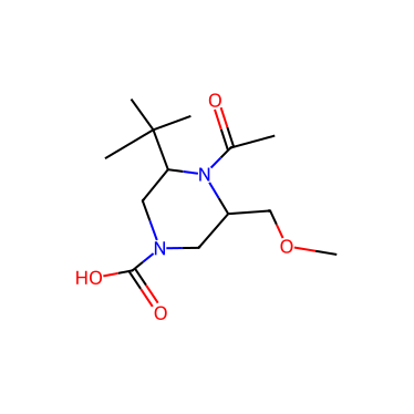 COCC1CN(C(=O)O)CC(C(C)(C)C)N1C(C)=O